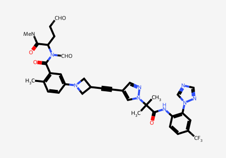 CNC(=O)C(CCC=O)N(C=O)C(=O)c1cc(N2CC(C#Cc3cnn(C(C)(C)C(=O)Nc4ccc(C(F)(F)F)cc4-n4cncn4)c3)C2)ccc1C